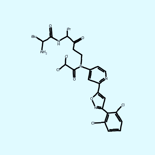 CCC(C)C(N)C(=O)NC(C(=O)CCN(C(=O)C(Cl)Cl)c1ccnc(-c2cc(-c3c(Cl)cccc3Cl)no2)c1)C(C)C